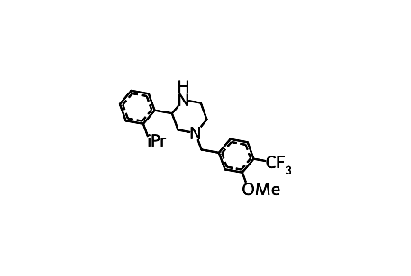 COc1cc(CN2CCNC(c3ccccc3C(C)C)C2)ccc1C(F)(F)F